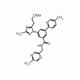 COCCc1nc(C)nn1-c1cc(C(=O)NCc2cnc(C)cn2)cc(-c2ccc(C)cn2)c1